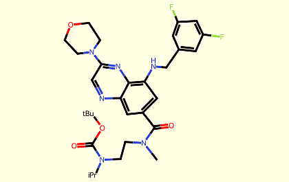 CC(C)N(CCN(C)C(=O)c1cc(NCc2cc(F)cc(F)c2)c2nc(N3CCOCC3)cnc2c1)C(=O)OC(C)(C)C